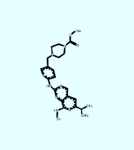 COC(C)c1cc2cnc(Nc3ccc(CN4CCN(C(=O)OC(C)(C)C)CC4)cn3)nc2c(NC(C)C)n1